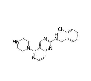 Clc1ccccc1CNc1ncc2c(N3CCNCC3)nccc2n1